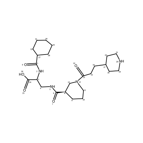 O=C(NC(CNC(=O)[C@@H]1CCCN(C(=O)CCC2CCNCC2)C1)C(=O)O)C1CCCCC1